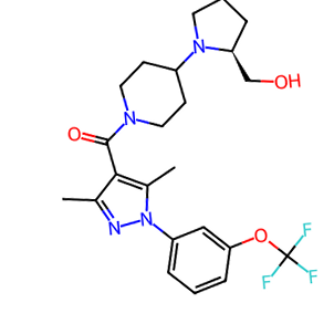 Cc1nn(-c2cccc(OC(F)(F)F)c2)c(C)c1C(=O)N1CCC(N2CCC[C@H]2CO)CC1